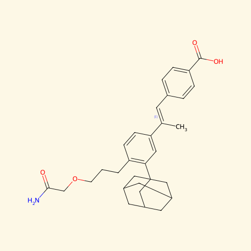 C/C(=C\c1ccc(C(=O)O)cc1)c1ccc(CCCOCC(N)=O)c(C23CC4CC(CC(C4)C2)C3)c1